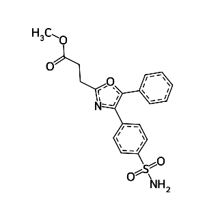 COC(=O)CCc1nc(-c2ccc(S(N)(=O)=O)cc2)c(-c2ccccc2)o1